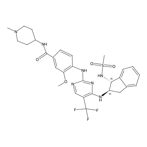 COc1cc(C(=O)NC2CCN(C)CC2)ccc1Nc1ncc(C(F)(F)F)c(N[C@@H]2Cc3ccccc3[C@H]2NS(C)(=O)=O)n1